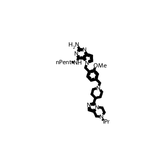 CCCCCNc1nc(N)nc2ccn(Cc3ccc(CN4CCC(c5ncc6n5CCN(C(C)C)C6)CC4)cc3OC)c12